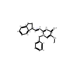 COc1cn(Cc2ccccc2)c(/N=C/C2CCc3ccccc32)nc1=O